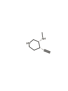 C#C[C@@H]1CCNC[C@@H]1NC